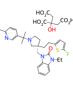 CCn1c(=O)n(C[C@@]2(CCc3ccc(F)s3)CCN(C(C)(C)c3ccc(C)nc3)C2)c2ccccc21.O=C(O)CC(O)(CC(=O)O)C(=O)O